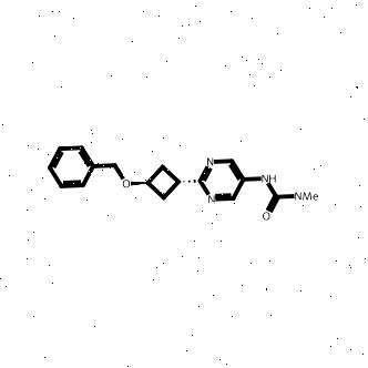 CNC(=O)Nc1cnc([C@H]2C[C@H](OCc3ccccc3)C2)nc1